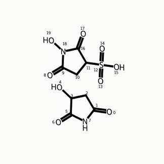 O=C1CC(O)C(=O)N1.O=C1CC(S(=O)(=O)O)C(=O)N1O